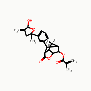 C=C(C)C(=O)OC1C2OC(=O)C3C(c4cccc(C5(C)CC(=C)C(O)O5)c4)C1[C@H](C)C23